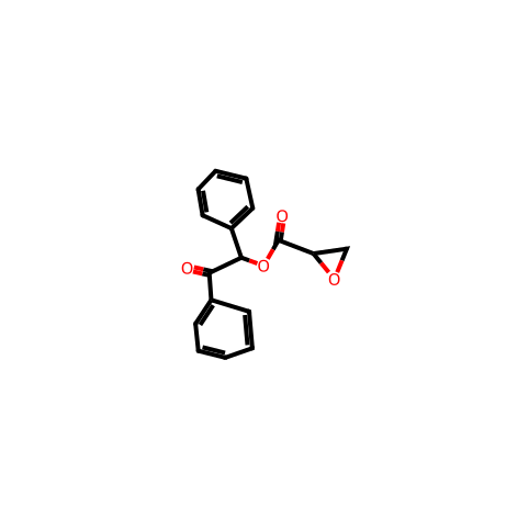 O=C(OC(C(=O)c1ccccc1)c1ccccc1)C1CO1